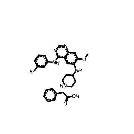 COc1cc2ncnc(Nc3cccc(Br)c3)c2cc1NC1CCNCC1.O=C(O)Cc1ccccc1